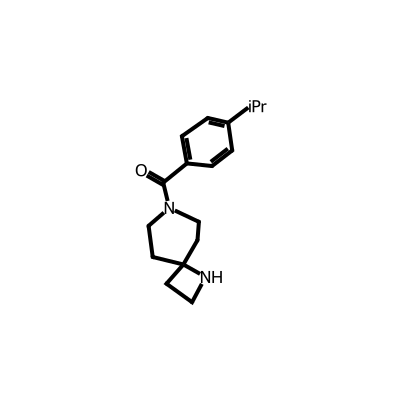 CC(C)c1ccc(C(=O)N2CCC3(CCN3)CC2)cc1